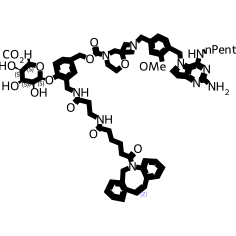 CCCCCNc1nc(N)nc2ccn(Cc3ccc(CN4CC5(C4)CN(C(=O)OCc4ccc(O[C@@H]6O[C@H](C(=O)O)[C@@H](O)[C@H](O)[C@H]6O)c(CNC(=O)CCNC(=O)CCCCC(=O)N6Cc7ccccc7/C=C\c7ccccc76)c4)CCO5)cc3OC)c12